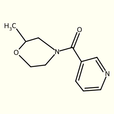 CC1CN(C(=O)c2cccnc2)CCO1